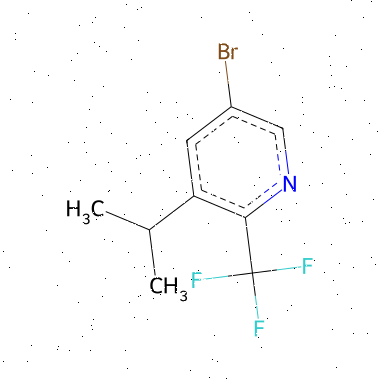 CC(C)c1cc(Br)cnc1C(F)(F)F